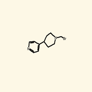 BrCN1CCC(c2ccncc2)CC1